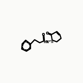 O=C(CCc1ccccc1)N[C@H]1CCC=CC1=O